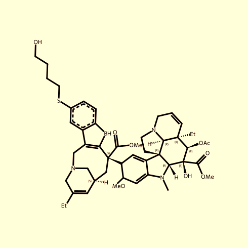 CCC1=C[C@H]2CN(C1)CC1=C(Bc3ccc(SCCCCO)cc31)[C@@](C(=O)OC)(C1C=C3C(=CC1OC)N(C)[C@H]1[C@@](O)(C(=O)OC)[C@H](OC(C)=O)[C@]4(CC)C=CCN5CC[C@]31[C@@H]54)C2